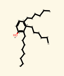 CCCCCCCCc1c(O)ccc(CCCCCC)c1CCCCCC